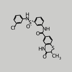 CC1Sc2ccc(C(=O)Nc3cccc([S+]([O-])Nc4cccc(Cl)c4)c3)cc2NC1=O